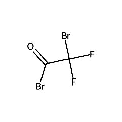 O=C(Br)C(F)(F)Br